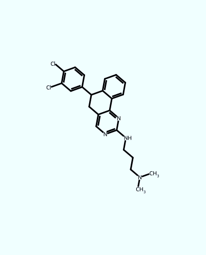 CN(C)CCCNc1ncc2c(n1)-c1ccccc1C(c1ccc(Cl)c(Cl)c1)C2